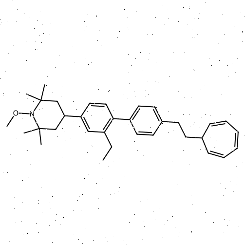 CCc1cc(C2CC(C)(C)N(OC)C(C)(C)C2)ccc1-c1ccc(CCC2C=CC=CC=C2)cc1